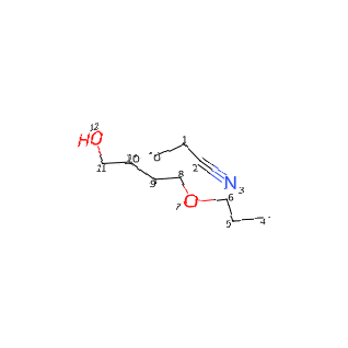 [CH2]CC#N.[CH2]CCOCCCCO